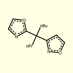 [CH2]CCC(CCCC)(c1ccon1)c1ncco1